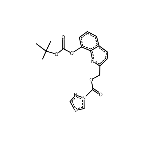 CC(C)(C)OC(=O)Oc1cccc2ccc(COC(=O)n3cncn3)nc12